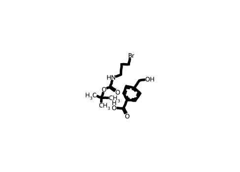 CC(C)(C)OC(=O)NCCCBr.O=C(O)c1ccc(CO)cc1